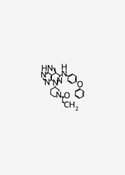 C=CC(=O)N1CCCC(N2N=C(Nc3ccc(Oc4ccccc4)cc3)c3c[nH]c4ncnc2c34)C1